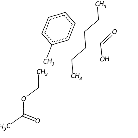 CCCCCC.CCOC(C)=O.Cc1ccccc1.O=CO